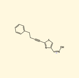 O/N=C\c1csc(C#CCCc2ccccc2)n1